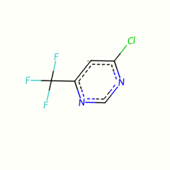 FC(F)(F)c1[c]c(Cl)ncn1